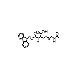 CC(=O)NCSCCC(NC(=O)OCC1c2ccccc2-c2ccccc21)C(=O)O